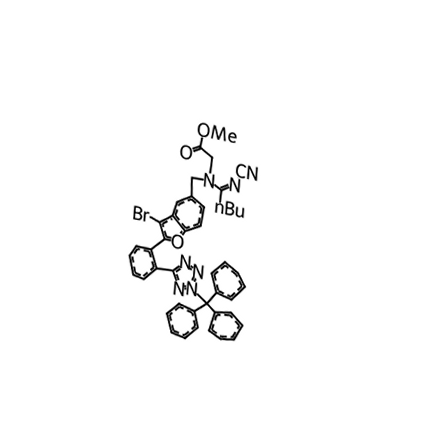 CCCC/C(=N/C#N)N(CC(=O)OC)Cc1ccc2oc(-c3ccccc3-c3nnn(C(c4ccccc4)(c4ccccc4)c4ccccc4)n3)c(Br)c2c1